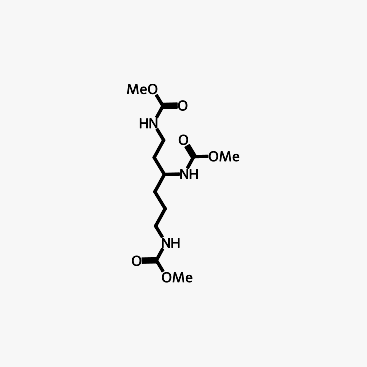 COC(=O)NCCCC(CCNC(=O)OC)NC(=O)OC